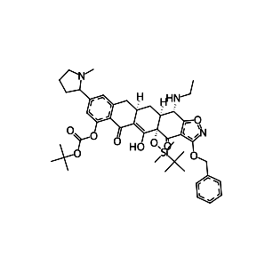 CCN[C@@H]1c2onc(OCc3ccccc3)c2C(=O)[C@@]2(O[Si](C)(C)C(C)(C)C)C(O)=C3C(=O)c4c(cc(C5CCCN5C)cc4OC(=O)OC(C)(C)C)C[C@H]3C[C@@H]12